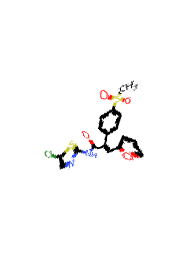 CS(=O)(=O)c1ccc(/C(=C\c2ccco2)C(=O)Nc2ncc(Cl)s2)cc1